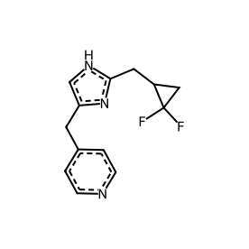 FC1(F)CC1Cc1nc(Cc2ccncc2)c[nH]1